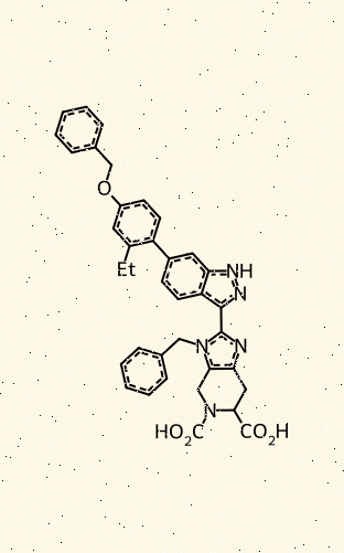 CCc1cc(OCc2ccccc2)ccc1-c1ccc2c(-c3nc4c(n3Cc3ccccc3)CN(C(=O)O)C(C(=O)O)C4)n[nH]c2c1